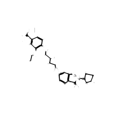 CCOc1cc(C(=O)O)ccc1OCCCCOc1ccc2c(=O)n(C3CCCC3)sc2c1